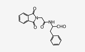 O=CC(Cc1ccccc1)NC(=O)CN1C(=O)c2ccccc2C1=O